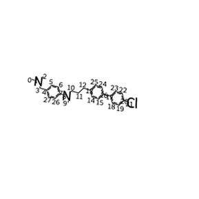 CN(C)Cc1ccc(N(C)CCCc2ccc(-c3ccc(Cl)cc3)cc2)cc1